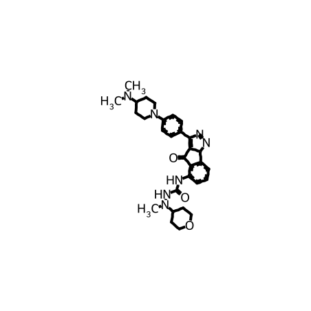 CN(C)C1CCN(c2ccc(C3=C4C(=O)c5c(NC(=O)NN(C)C6CCOCC6)cccc5C4N=N3)cc2)CC1